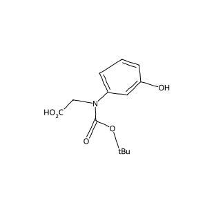 CC(C)(C)OC(=O)N(CC(=O)O)c1cccc(O)c1